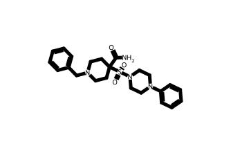 NC(=O)C1(S(=O)(=O)N2CCN(c3ccccc3)CC2)CCN(Cc2ccccc2)CC1